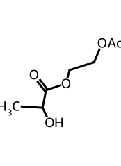 CC(=O)OCCOC(=O)C(C)O